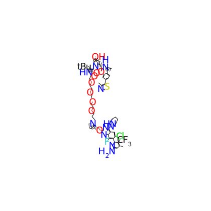 Cc1cc(N)nc(-c2c(Cl)cc3c(N4CC5CCC(C4)N5)nc(OC[C@@H]4CCCN4CCCOCCOCCOCCOCC(=O)N[C@H](C(=O)N4C[C@H](O)C[C@H]4C(=O)N[C@@H](C)c4ccc(-c5scnc5C)cc4)C(C)(C)C)nc3c2F)c1C(F)(F)F